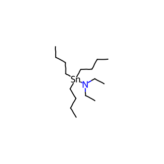 CCC[CH2][Sn]([CH2]CCC)([CH2]CCC)[N](CC)CC